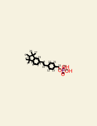 CC1C(C)(C)c2ccc(C=Cc3ccc(COP(=O)(O)O)cc3)cc2C1(C)C